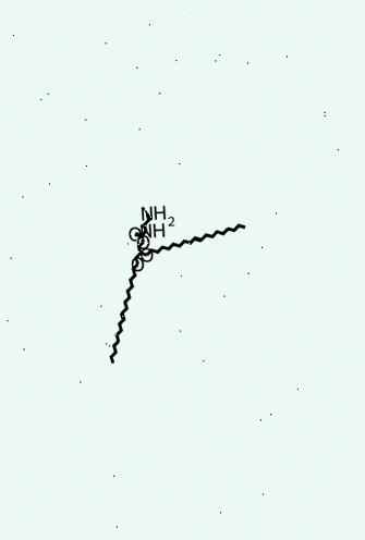 CCCCCCCCC=CCCCCCCCCOCC(COC(=O)NCCN)OCCCCCCCCC=CCCCCCCCC